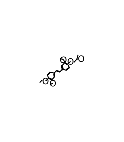 CCOc1ccc(C=Cc2ccc(OCC3CO3)c(OC)c2)cc1OC